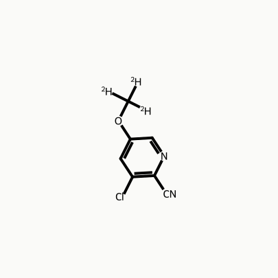 [2H]C([2H])([2H])Oc1cnc(C#N)c(Cl)c1